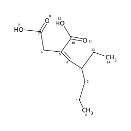 CCCC(C=C(CC(=O)O)C(=O)O)CC